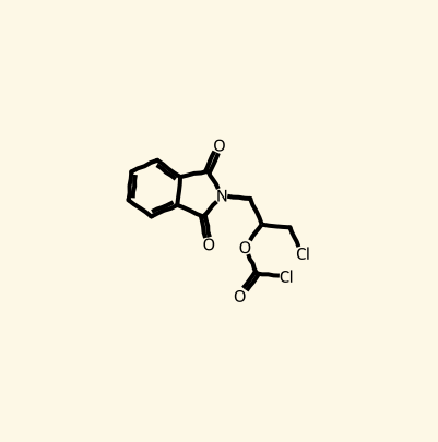 O=C(Cl)OC(CCl)CN1C(=O)c2ccccc2C1=O